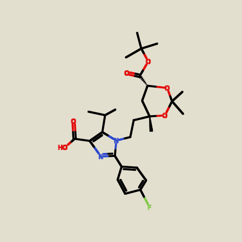 CC(C)c1c(C(=O)O)nc(-c2ccc(F)cc2)n1CC[C@]1(C)C[C@H](C(=O)OC(C)(C)C)OC(C)(C)O1